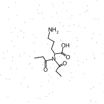 CCC(=O)N(C(=O)CC)C(CCCN)C(=O)O